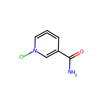 NC(=O)C1=CN(Cl)C=C=C1